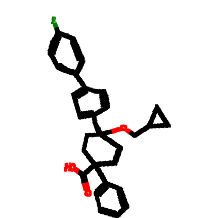 O=C(O)C1(c2ccccc2)CCC(OCC2CC2)(c2ccc(-c3ccc(F)cc3)cc2)CC1